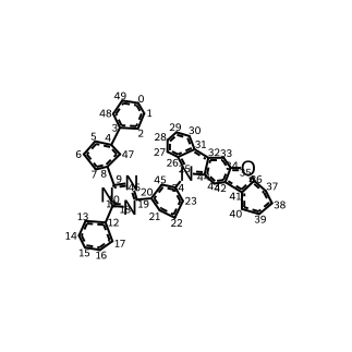 c1ccc(-c2cccc(-c3nc(-c4ccccc4)nc(-c4cccc(-n5c6ccccc6c6cc7oc8ccccc8c7cc65)c4)n3)c2)cc1